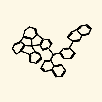 C1=C2C3=C4C(=CCC3)c3ccc(N(c5cccc(-c6ccc7ccccc7c6)c5)c5cccc6ccccc56)cc3C43C2=C(CC1)c1ccccc13